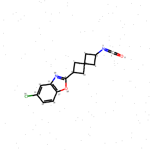 O=C=NC1CC2(C1)CC(c1nc3cc(Cl)ccc3o1)C2